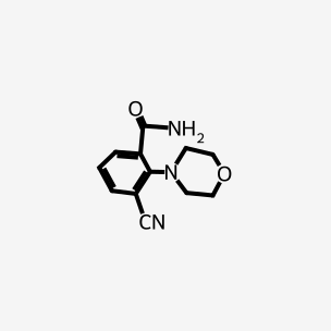 N#Cc1cccc(C(N)=O)c1N1CCOCC1